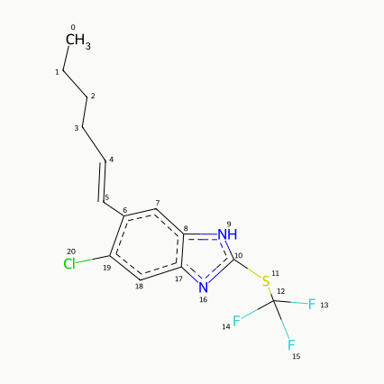 CCCCC=Cc1cc2[nH]c(SC(F)(F)F)nc2cc1Cl